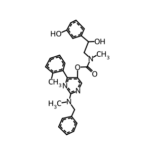 Cc1ccccc1-c1nc(N(C)Cc2ccccc2)ncc1OC(=O)N(C)CC(O)c1cccc(O)c1